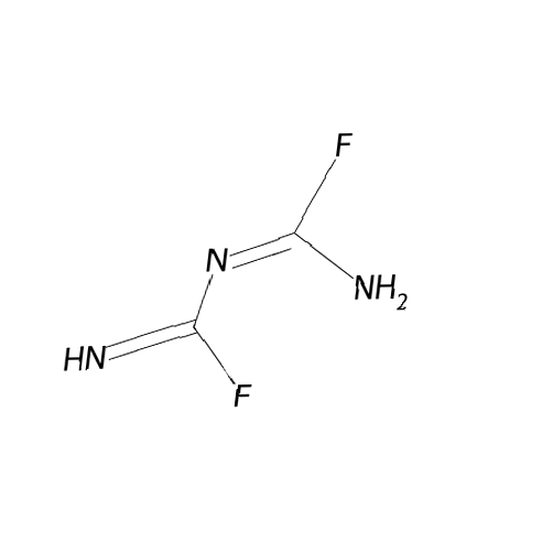 N=C(F)/N=C(\N)F